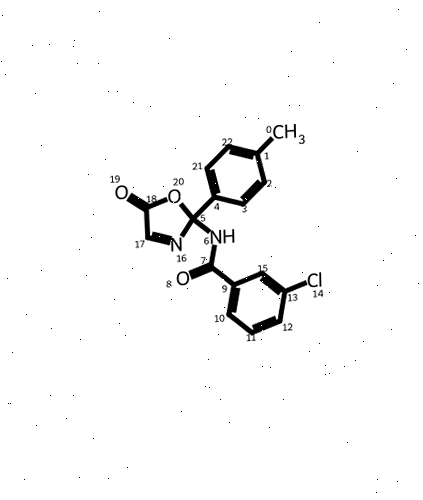 Cc1ccc(C2(NC(=O)c3cccc(Cl)c3)N=CC(=O)O2)cc1